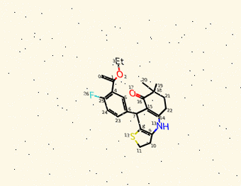 C=C(OCC)c1cc(C2C3=C(CCS3)NC3=C2C(=O)C(C)(C)CC3)ccc1F